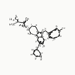 CC(C)C(=O)N[C@@H]1CCc2c(c3cc(-c4cccnc4)ccc3n2Cc2cccc(F)c2)C1